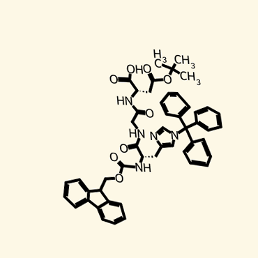 CC(C)(C)OC(=O)C[C@H](NC(=O)CNC(=O)[C@H](Cc1cn(C(c2ccccc2)(c2ccccc2)c2ccccc2)cn1)NC(=O)OCC1c2ccccc2-c2ccccc21)C(=O)O